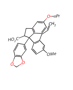 C=CCc1cc(OC)ccc1C1(c2ccc3c(c2)OCO3)c2ccc(OCCC)cc2CC1C(=O)O